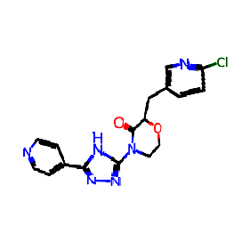 O=C1C(Cc2ccc(Cl)nc2)OCCN1c1nnc(-c2ccncc2)[nH]1